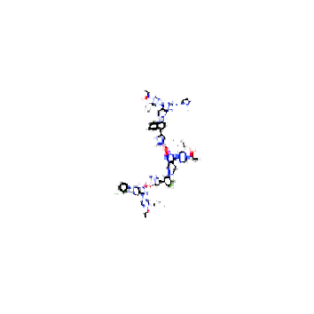 C=CC(=O)N1CCN(c2nc(NC[C@@H]3CCCN3C)nc3c2CCN(c2ccc(C4C[C@@H](COc5nc6c(c(N7CCN(C(=O)C=C)[C@@H](CC#N)C7)n5)CCN(c5cc(C7C[C@@H](COc8nc9c(c(N%10CCN(C(=O)C=C)[C@@H](CC#N)C%10)n8)CCN(c8cccc(F)c8Cl)C9)N(C)C7)cc(F)c5F)C6)N(C)C4)c4ccccc24)C3)C[C@@H]1CC#N